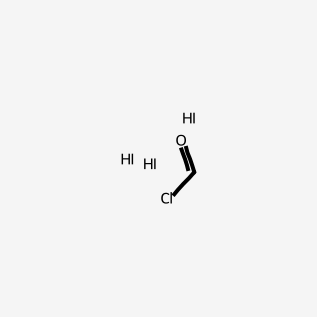 I.I.I.O=CCl